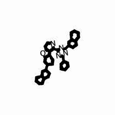 c1ccc(-c2nc(-c3ccc4ccccc4c3)nc(-c3nccc4oc5cc(-c6ccc7ccccc7c6)ccc5c34)n2)cc1